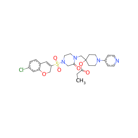 CCC(=O)OC1(CN2CCN(S(=O)(=O)C3=Cc4ccc(Cl)cc4OC3)CC2=O)CCN(c2ccncc2)CC1